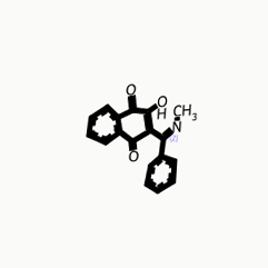 C/N=C(\C1=C(O)C(=O)c2ccccc2C1=O)c1ccccc1